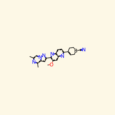 COc1cc2nc(C3=CCB(C#N)CC3)ccc2nc1-c1cc2c(C)nc(C)cn2n1